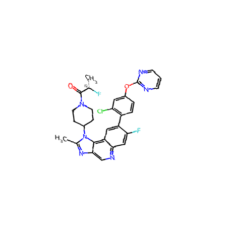 Cc1nc2cnc3cc(F)c(-c4ccc(Oc5ncccn5)cc4Cl)cc3c2n1C1CCN(C(=O)[C@H](C)F)CC1